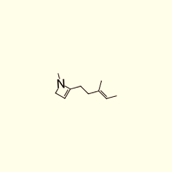 C/C=C(\C)CCC1=CCN1C